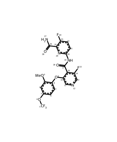 COc1cc(OC(F)(F)F)ccc1Oc1cncc(F)c1C(=O)Nc1ccc(F)c(C(N)=O)n1